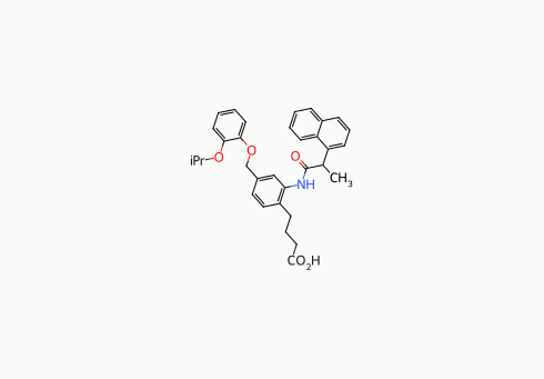 CC(C)Oc1ccccc1OCc1ccc(CCCC(=O)O)c(NC(=O)C(C)c2cccc3ccccc23)c1